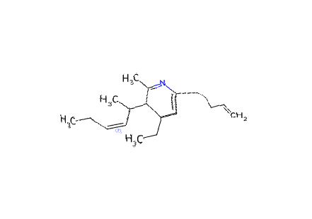 C=CCCC1=CC(CC)C(C(C)/C=C\CC)C(C)=N1